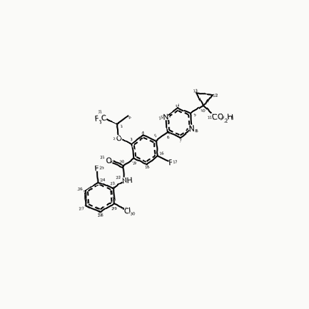 CC(Oc1cc(-c2cnc(C3(C(=O)O)CC3)cn2)c(F)cc1C(=O)Nc1c(F)cccc1Cl)C(F)(F)F